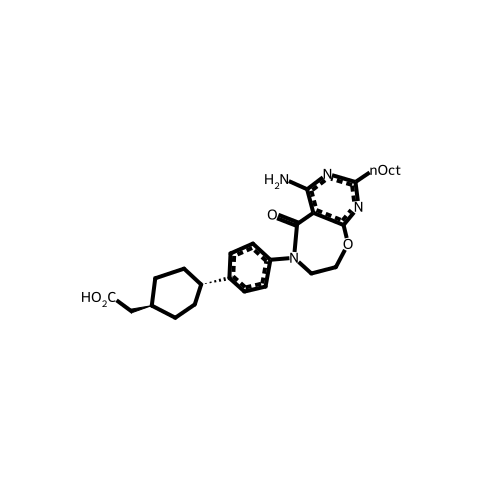 CCCCCCCCc1nc(N)c2c(n1)OCCN(c1ccc([C@H]3CC[C@H](CC(=O)O)CC3)cc1)C2=O